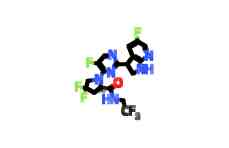 O=C(NCC(F)(F)F)[C@H]1CC(F)(F)CN1c1nc(C2CNc3ncc(F)cc32)ncc1F